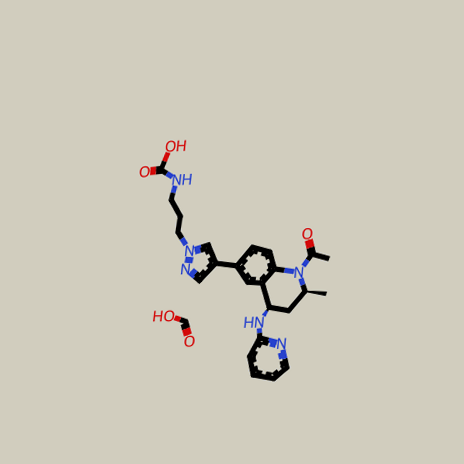 CC(=O)N1c2ccc(-c3cnn(CCCNC(=O)O)c3)cc2[C@H](Nc2ccccn2)C[C@@H]1C.O=CO